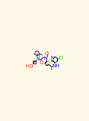 Cc1ncc(Cl)cc1N[C@@H](C)c1ccc(N(C=O)[C@@H](CC2CCCC2)C(=O)NC23CC(O)(C2)C3)s1